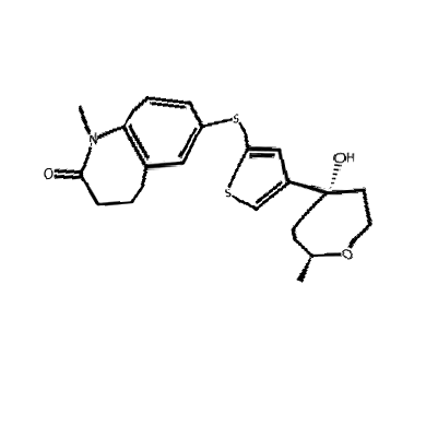 C[C@H]1C[C@@](O)(c2csc(Sc3ccc4c(c3)CCC(=O)N4C)c2)CCO1